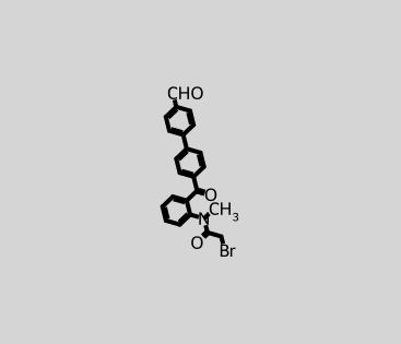 CN(C(=O)CBr)c1ccccc1C(=O)c1ccc(-c2ccc(C=O)cc2)cc1